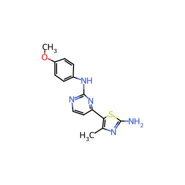 COc1ccc(Nc2nccc(-c3sc(N)nc3C)n2)cc1